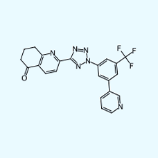 O=C1CCCc2nc(-c3nnn(-c4cc(-c5cccnc5)cc(C(F)(F)F)c4)n3)ccc21